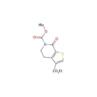 CCOC(=O)c1csc2c1CCN(C(=O)OC(C)(C)C)C2=O